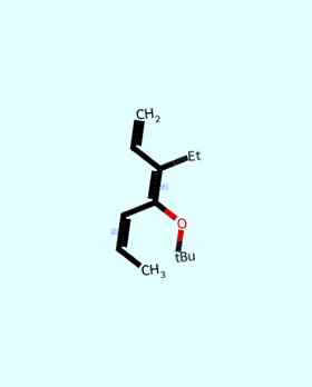 C=C/C(CC)=C(\C=C/C)OC(C)(C)C